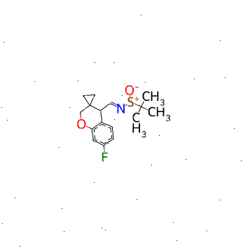 CC(C)(C)[S@+]([O-])/N=C/C1c2ccc(F)cc2OCC12CC2